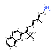 CC(/C=C/C=C(/c1ccc2ccccc2c1)C(C)(C)C)=C\CN